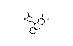 Cc1ccncc1C(c1ccc(F)c(F)c1)C1CNC(=O)C1